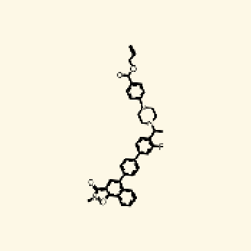 C=CCOC(=O)c1ccc(N2CCN(C(C)c3ccc(-c4ccc(-c5cc6c(=O)n(C)oc6c6ccccc56)cc4)cc3F)CC2)cc1